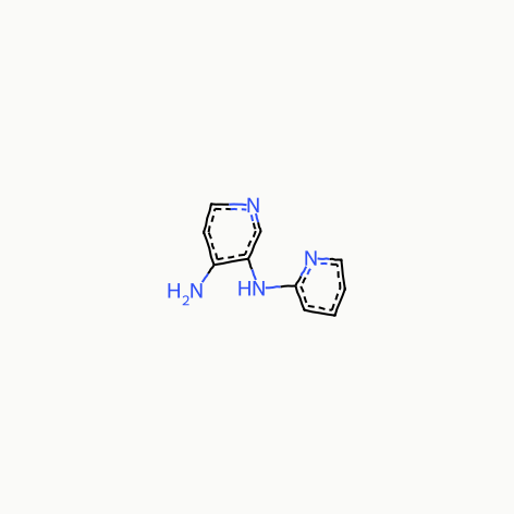 Nc1ccncc1Nc1ccccn1